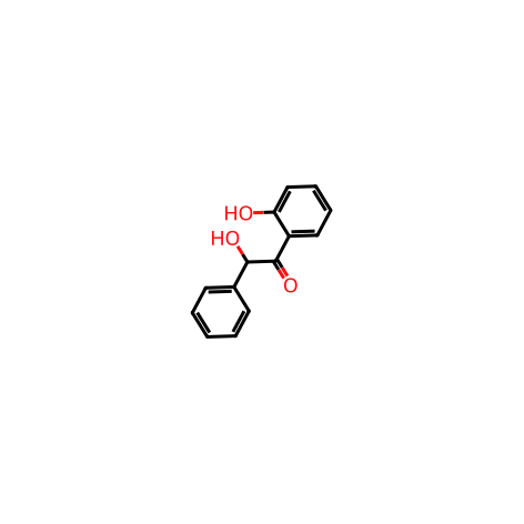 O=C(c1ccccc1O)C(O)c1ccccc1